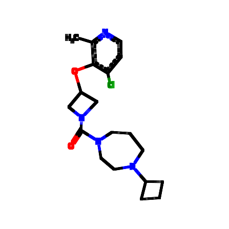 Cc1nccc(Cl)c1OC1CN(C(=O)N2CCCN(C3CCC3)CC2)C1